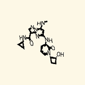 CNc1cc(Nc2cccn([C@H]3CC[C@H]3O)c2=O)nc2c(C(=O)NC3CC3)cnn12